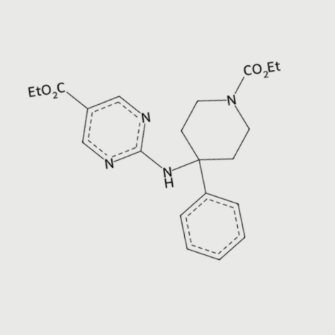 CCOC(=O)c1cnc(NC2(c3ccccc3)CCN(C(=O)OCC)CC2)nc1